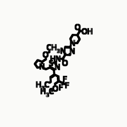 CC/C=C(\C=C(/COC)C(F)(F)F)c1nc(NC(=O)c2cnc(N3CCC(C(=O)O)CC3)cn2)sc1CN1CCCC1COCC